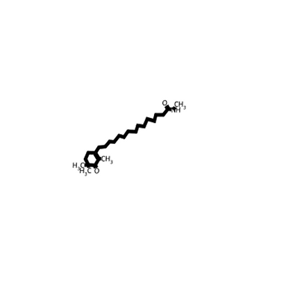 CNC(=O)CCCCCCCCCCCCCCC1=C(C)C(=O)C(C)(C)CC1